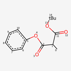 CC(C(=O)Oc1ccccc1)C(=O)OC(C)(C)C